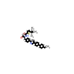 C=C(/N=C\C(=C/C)C1=CCC(C2CCC(CC)CC2)CC1)c1ccc(C[C@H](NC(=O)c2ccc(C(C)(C)C)s2)C(C)=O)cc1